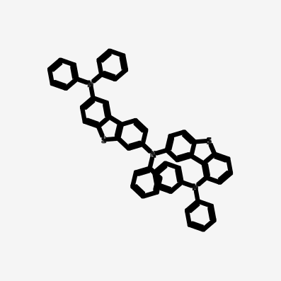 c1ccc(N(c2ccccc2)c2ccc3sc4cc(N(c5ccccc5)c5ccc6sc7cccc(N(c8ccccc8)c8ccccc8)c7c6c5)ccc4c3c2)cc1